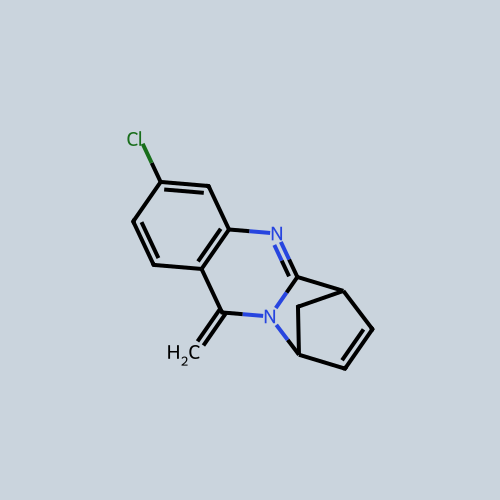 C=C1c2ccc(Cl)cc2N=C2C3C=CC(C3)N12